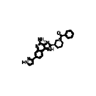 Nc1nc2cc(-c3cc[nH]n3)ccc2c2[nH]c([C@@H]3CCCN(C(=O)c4ccccc4)C3)nc12